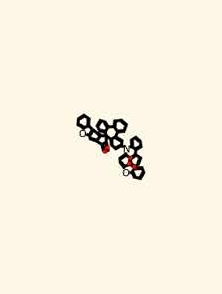 c1ccc(-c2ccccc2N(c2ccc3c(c2)-c2ccccc2-c2ccccc2C32c3ccccc3-c3cc4oc5ccccc5c4cc32)c2ccc3oc4ccccc4c3c2)cc1